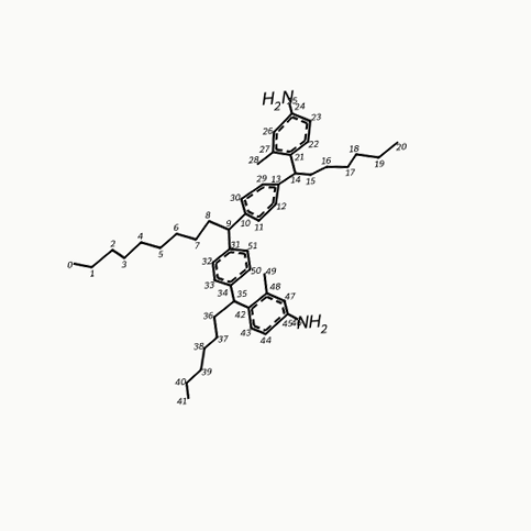 CCCCCCCCCC(c1ccc(C(CCCCCC)c2ccc(N)cc2C)cc1)c1ccc(C(CCCCCC)c2ccc(N)cc2C)cc1